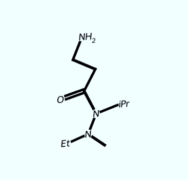 CCN(C)N(C(=O)CCN)C(C)C